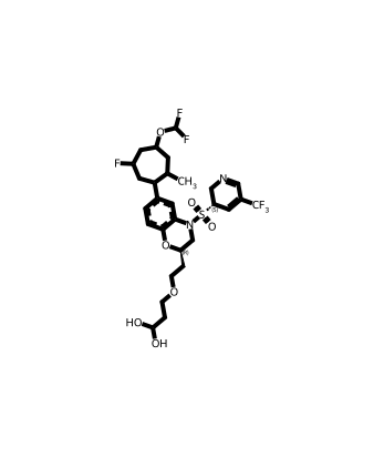 CC1CC(OC(F)F)CC(F)CC1c1ccc2c(c1)N(S(=O)(=O)[C@H]1C=C(C(F)(F)F)C=NC1)C[C@@H](CCOCCC(O)O)O2